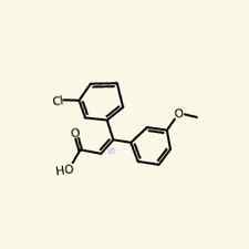 COc1cccc(/C(=C/C(=O)O)c2cccc(Cl)c2)c1